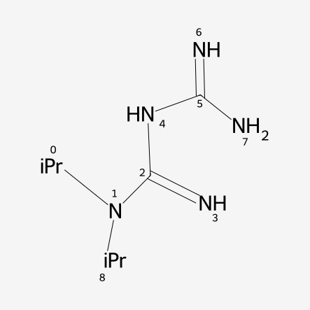 CC(C)N(C(=N)NC(=N)N)C(C)C